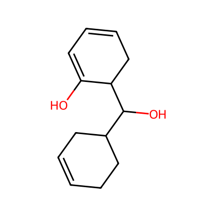 OC1=CC=CCC1C(O)C1CC=CCC1